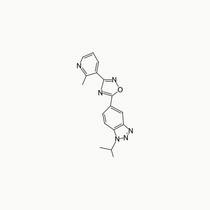 Cc1ncccc1-c1noc(-c2ccc3c(c2)nnn3C(C)C)n1